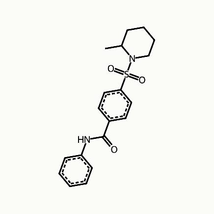 CC1CCCCN1S(=O)(=O)c1ccc(C(=O)Nc2ccccc2)cc1